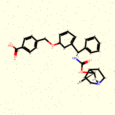 O=C(N[C@H](C1=CC=CC(OCc2ccc(C(=O)O)cc2)C1)c1ccccc1)O[C@H]1CN2CCC1CC2